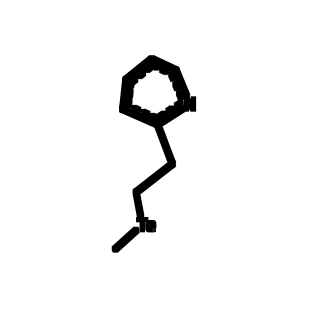 C[Te]CCc1ccccn1